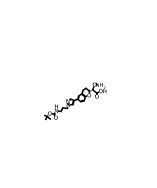 CC(C)(C)OC(=O)NCCCn1cc(-c2ccc3c(c2)CC[C@H](C(ON)C(=O)O)O3)cn1